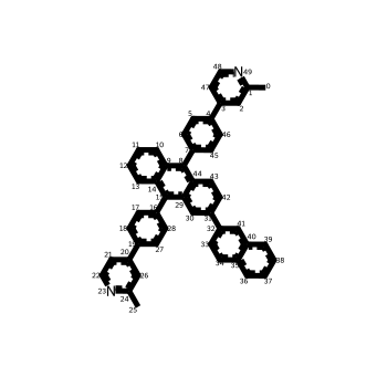 Cc1cc(-c2ccc(-c3c4ccccc4c(-c4ccc(-c5ccnc(C)c5)cc4)c4cc(-c5ccc6ccccc6c5)ccc34)cc2)ccn1